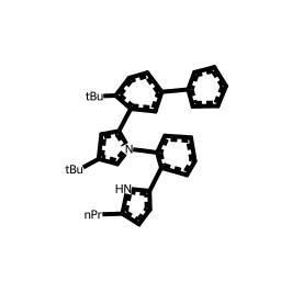 CCCc1ccc(-c2ccccc2-n2cc(C(C)(C)C)cc2-c2cc(-c3ccccc3)ccc2C(C)(C)C)[nH]1